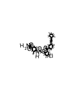 Cc1cc(S(N)(=O)=O)ccc1NC(=O)COc1ccc(Cl)cc1C(=O)c1cccc(C#CC2CCCC2)c1